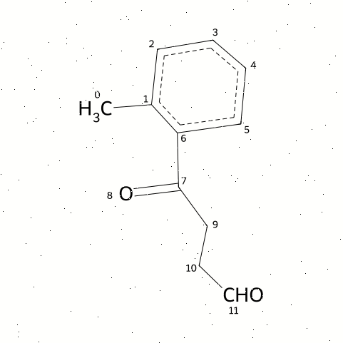 Cc1ccccc1C(=O)CCC=O